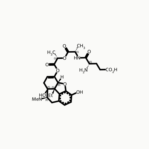 CC[C@]12c3c4ccc(O)c3O[C@H]1C(OC(=O)[C@H](C)OC(=O)[C@H](C)NC(=O)[C@@H](N)CCC(=O)O)=CC[C@@]2(O)[C@H](NC)C4